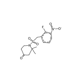 CC1(C)CC(=O)CCN1S(=O)(=O)Cc1cccc([N+](=O)[O-])c1F